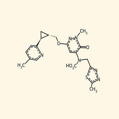 Cc1ccc([C@H]2C[C@@H]2COc2cc(N(Cc3nnc(C)s3)C(=O)O)c(=O)n(C)n2)nc1